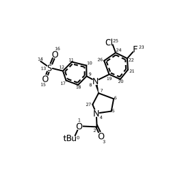 CC(C)(C)OC(=O)N1CC[C@H](N(c2ccc(S(C)(=O)=O)cc2)c2ccc(F)c(Cl)c2)C1